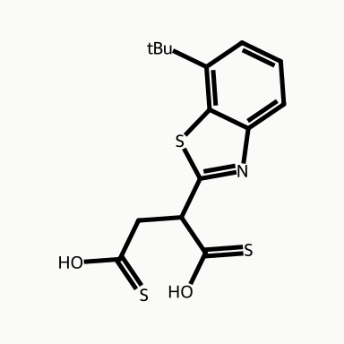 CC(C)(C)c1cccc2nc(C(CC(O)=S)C(O)=S)sc12